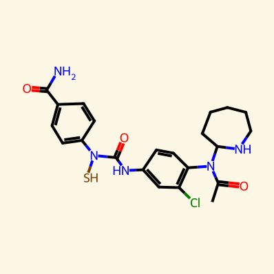 CC(=O)N(c1ccc(NC(=O)N(S)c2ccc(C(N)=O)cc2)cc1Cl)C1CCCCCN1